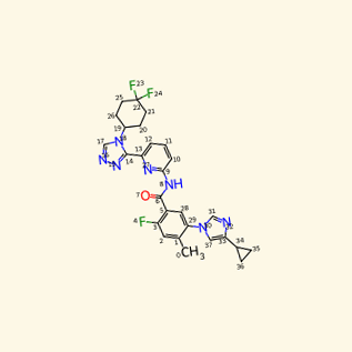 Cc1cc(F)c(C(=O)Nc2cccc(-c3nncn3C3CCC(F)(F)CC3)n2)cc1-n1cnc(C2CC2)c1